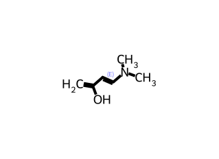 C=C(O)/C=C/N(C)C